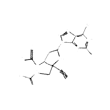 C#CC1(COC(=O)CCCC)OC(n2cnc3c(N)nc(F)nc32)CC1OC(=O)CCCCCCCCCC